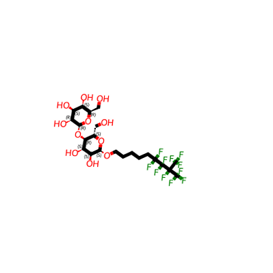 OC[C@@H]1O[C@H](OCCCCCC(F)(F)C(F)(F)C(F)(C(F)(F)F)C(F)(F)F)[C@@H](O)[C@H](O)[C@H]1O[C@H]1O[C@H](CO)[C@@H](O)[C@H](O)[C@H]1O